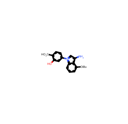 CC(C)COc1cccc2c1c(N)cn2-c1ccc(C(=O)O)c(O)c1